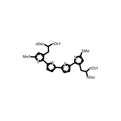 CCCCCCCCCCC(CCCCCCCC)Cc1cc(SC)sc1-c1ccc(-c2ccc(-c3sc(SC)cc3CC(CCCCCCCC)CCCCCCCCCC)s2)s1